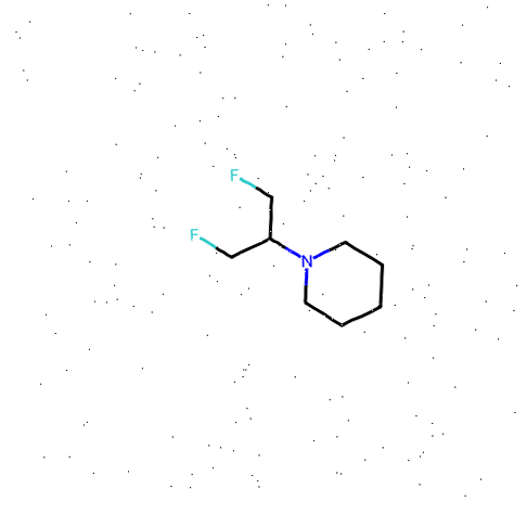 FCC(CF)N1CCCCC1